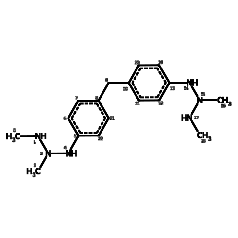 CNN(C)Nc1ccc(Cc2ccc(NN(C)NC)cc2)cc1